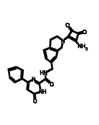 Nc1c(N2CCc3ccc(CNC(=O)c4nc(-c5ccccc5)cc(=O)[nH]4)cc3C2)c(=O)c1=O